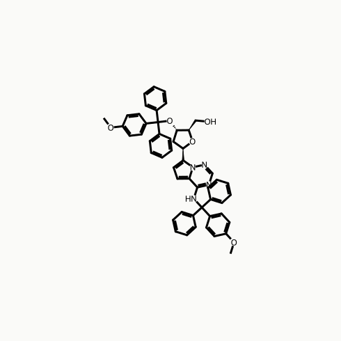 COc1ccc(C(Nc2ncnn3c([C@H]4C[C@H](OC(c5ccccc5)(c5ccccc5)c5ccc(OC)cc5)[C@@H](CO)O4)ccc23)(c2ccccc2)c2ccccc2)cc1